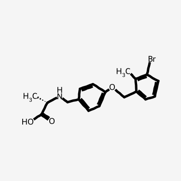 Cc1c(Br)cccc1COc1ccc(CN[C@@H](C)C(=O)O)cc1